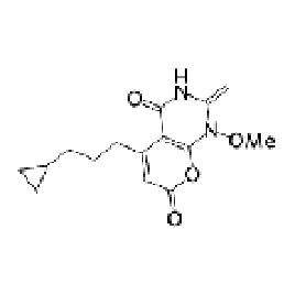 C=C1NC(=O)c2c(CCCC3CC3)cc(=O)oc2N1OC